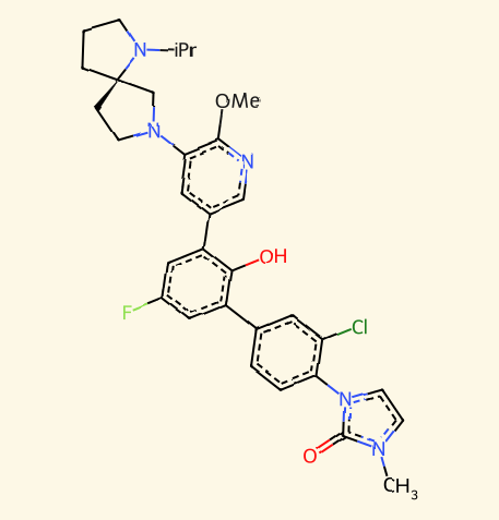 COc1ncc(-c2cc(F)cc(-c3ccc(-n4ccn(C)c4=O)c(Cl)c3)c2O)cc1N1CC[C@]2(CCCN2C(C)C)C1